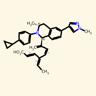 C=C(\C=C/C(/C=C/C(=O)O)=C\C)[C@@H]1c2ccc(-c3cnn(C)c3)cc2C[C@@H](C)N1c1ccc(C2CC2)cc1